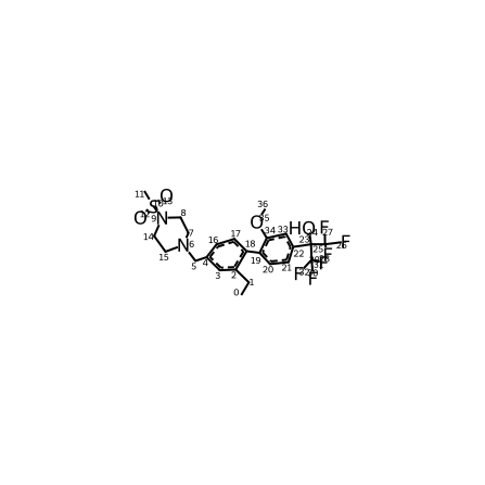 CCc1cc(CN2CCN(S(C)(=O)=O)CC2)ccc1-c1ccc(C(O)(C(F)(F)F)C(F)(F)F)cc1OC